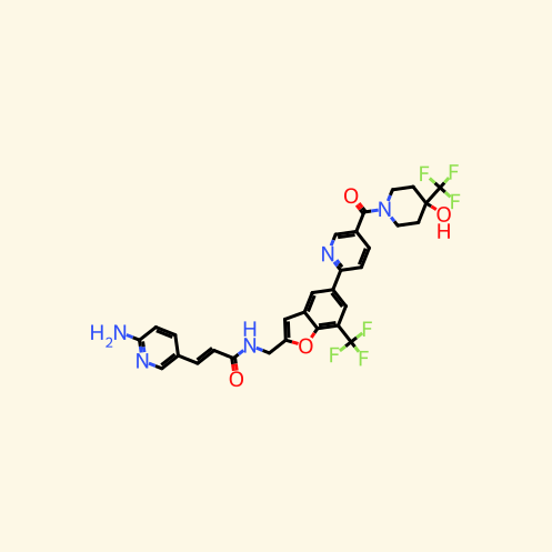 Nc1ccc(C=CC(=O)NCc2cc3cc(-c4ccc(C(=O)N5CCC(O)(C(F)(F)F)CC5)cn4)cc(C(F)(F)F)c3o2)cn1